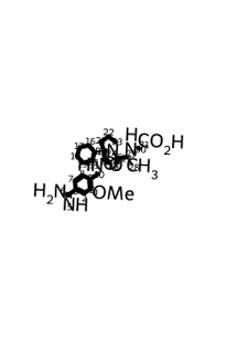 COc1cc(C(=N)N)ccc1CNC(=O)[C@]1(C2CCCCC2)CCCN1C(=O)[C@H](C)NCC(=O)O